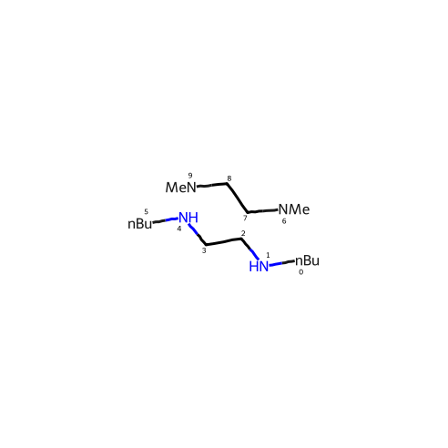 CCCCNCCNCCCC.CNCCNC